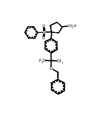 O=C(O)C1CCC(c2ccc(C(OCc3ccccc3)(C(F)(F)F)C(F)(F)F)cc2)(S(=O)(=O)c2ccccc2)C1